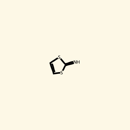 N=c1sccs1